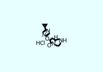 Cl.O=C1[C@H](Oc2cnc(C3CC3)cn2)C[C@H]2CNCCCN12